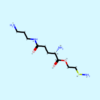 NCCCNC(=O)CC[C@H](N)C(=O)OCCSN